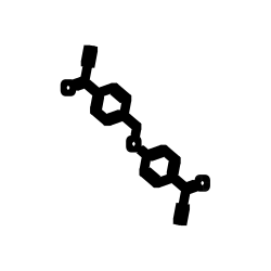 C#CC(=O)c1ccc(COc2ccc(C(=O)C#C)cc2)cc1